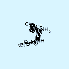 Cc1ccn(-c2cc(Cl)ccc2[C@@H](Oc2cc(N3CCC4(CC3)CN[C@H](C(=O)OCCOC(=O)C(C)(C)C)C4)nc(N)n2)C(F)(F)F)n1